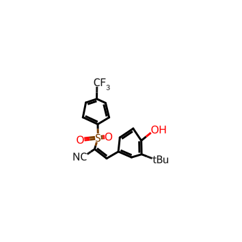 CC(C)(C)c1cc(C=C(C#N)S(=O)(=O)c2ccc(C(F)(F)F)cc2)ccc1O